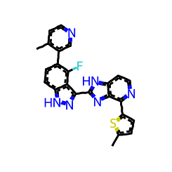 Cc1ccc(-c2nccc3[nH]c(-c4n[nH]c5ccc(-c6cnccc6C)c(F)c45)nc23)s1